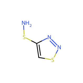 NSc1csnn1